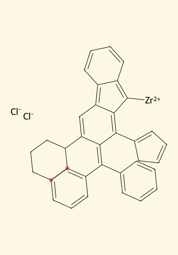 [Cl-].[Cl-].[Zr+2][C]1=c2ccccc2=c2cc(C3CCCCC3)c(=C(c3ccccc3)c3ccccc3)c(C3=CC=CC3)c21